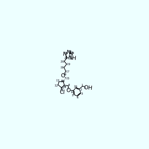 OCc1cccc(OC[C@H]2C(Cl)CC[C@@H]2COCCCCc2nnn[nH]2)c1